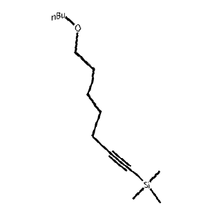 CCCCOCCCCCC#C[Si](C)(C)C